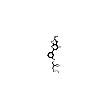 Cc1cc(-c2cccc(OCC(O)CN)c2)nc2nn(C(C)C)cc12